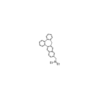 CCN(CC)Cc1ccc2cc3c(cc2c1)Cc1ccccc1-c1ccccc1-3